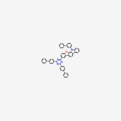 c1ccc(-c2ccc(-c3nc(-c4ccc(-c5ccccc5)cc4)nc(-c4ccc5oc6c(ccc7c8ccccc8n(-c8cccc(-c9ccccc9)c8)c76)c5c4)n3)cc2)cc1